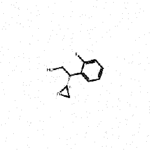 OCC(c1ccccc1F)[C@@H]1CO1